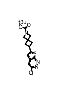 CC(C)(C)OC(=O)N1CC2(CC(c3cc4cc(Cl)nnc4s3)C2)C1